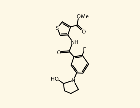 COC(=O)c1cscc1NC(=O)c1cc(N2CCCC2O)ccc1F